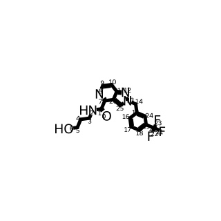 O=C(NCCCO)c1nccc2nn(Cc3cccc(C(F)(F)F)c3)cc12